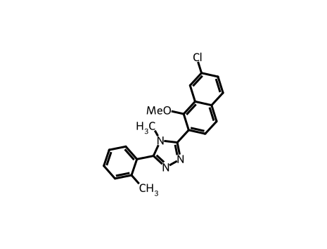 COc1c(-c2nnc(-c3ccccc3C)n2C)ccc2ccc(Cl)cc12